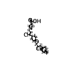 C[C@H](COc1ccc(C(Cl)=CCN2CC(C(=O)O)C2)cc1)Cc1ccc(F)cc1